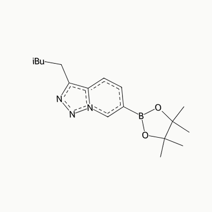 CCC(C)Cc1nnn2cc(B3OC(C)(C)C(C)(C)O3)ccc12